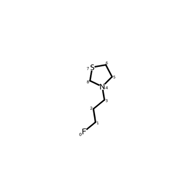 FCCCN1CCSC1